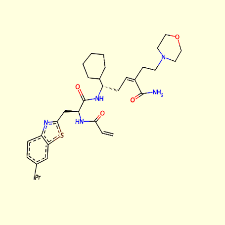 C=CC(=O)N[C@@H](Cc1nc2ccc(C(C)C)cc2s1)C(=O)N[C@@H](CC=C(CCN1CCOCC1)C(N)=O)C1CCCCC1